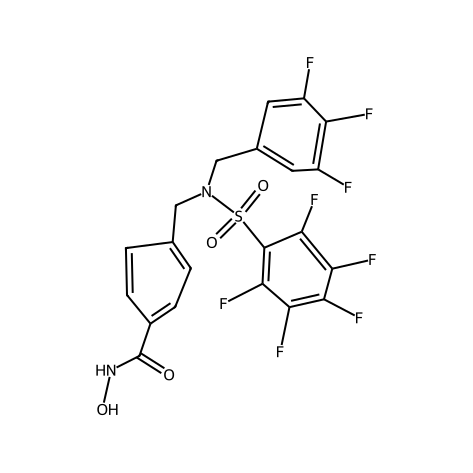 O=C(NO)c1ccc(CN(Cc2cc(F)c(F)c(F)c2)S(=O)(=O)c2c(F)c(F)c(F)c(F)c2F)cc1